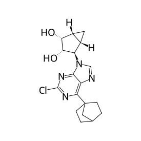 O[C@@H]1[C@H](O)[C@@H]2C[C@@H]2[C@H]1n1cnc2c(C34CCC(CC3)C4)nc(Cl)nc21